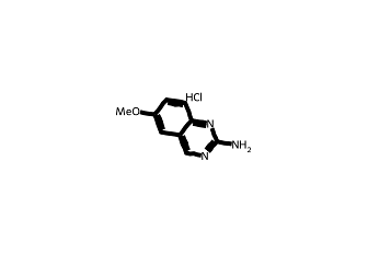 COc1ccc2nc(N)ncc2c1.Cl